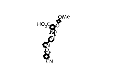 COC1CC(Oc2cc(C(=O)O)cc3c2nc(CN2CCC(c4cccc(OCc5ccc(C#N)cc5F)n4)CC2)n3C)C1